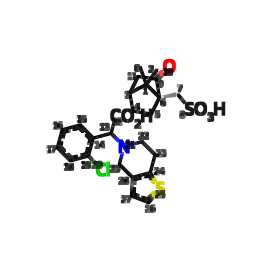 CC1(C)C2CC[C@]1(CS(=O)(=O)O)C(=O)C2.O=C(O)C(c1ccccc1Cl)N1CCc2sccc2C1